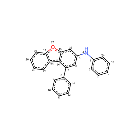 c1ccc(Nc2cc(-c3ccccc3)c3c(c2)oc2ccccc23)cc1